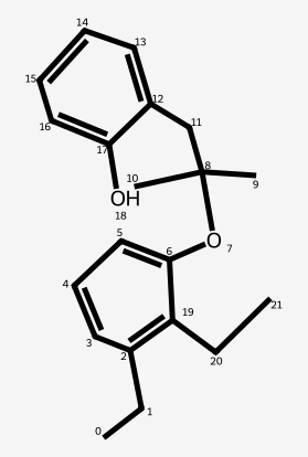 CCc1cccc(OC(C)(C)Cc2ccccc2O)c1CC